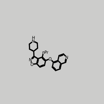 CCCc1c(Oc2cccc3cnccc23)ccc2onc(C3CCNCC3)c12